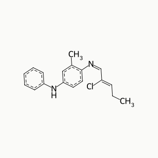 CC/C=C(Cl)/C=N\c1ccc(Nc2ccccc2)cc1C